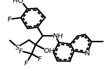 CSCC(O)(C(Nc1cccc2nc(C)ccc12)c1ccc(O)c(F)c1)C(F)(F)F